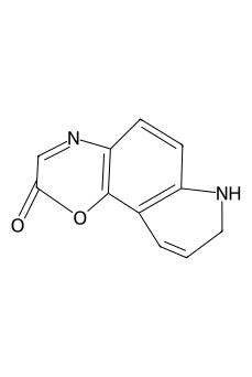 O=c1cnc2ccc3c(c2o1)C=CCN3